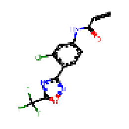 C=CC(=O)Nc1ccc(-c2noc(C(F)(F)F)n2)c(Cl)c1